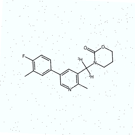 [2H]C([2H])(c1cc(-c2ccc(F)c(C)c2)cnc1C)N1CCCOC1=O